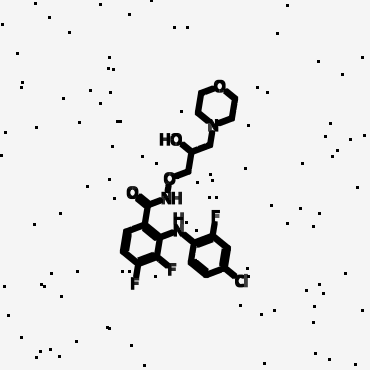 O=C(NOCC(O)CN1CCOCC1)c1ccc(F)c(F)c1Nc1ccc(Cl)cc1F